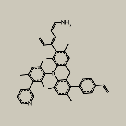 C=C/C(=C\C=C/N)c1c(C)cc2c(c1C)B(c1c(C)cc(C)c(-c3cccnc3)c1C)c1c(C)cc(C)c(-c3ccc(C=C)cc3)c1C2